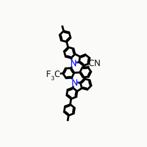 Cc1ccc(-c2ccc3c(c2)c2ccccc2n3-c2cc(C(F)(F)F)cc(-n3c4ccccc4c4cc(-c5ccc(C)cc5)ccc43)c2-c2cccc(C#N)c2)cc1